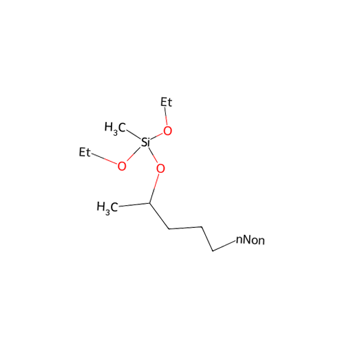 CCCCCCCCCCCCC(C)O[Si](C)(OCC)OCC